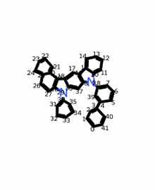 c1ccc(-c2cccc(-n3c4ccccc4c4cc5c6c7ccccc7ccc6n(-c6ccccc6)c5cc43)c2)cc1